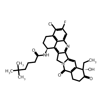 CC[C@@]1(O)C(=O)CCc2c1cc1n(c2=O)Cc2c-1nc1cc(F)c(Cl)c3c1c2[C@@H](NC(=O)CCCC(C)(C)C)CC3